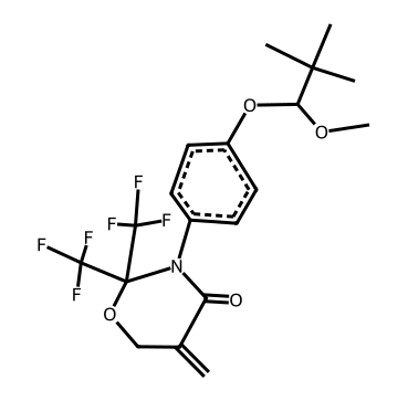 C=C1COC(C(F)(F)F)(C(F)(F)F)N(c2ccc(OC(OC)C(C)(C)C)cc2)C1=O